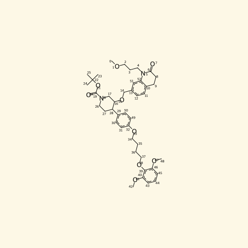 COCCCN1C(=O)CCc2ccc(COC3CN(C(=O)OC(C)(C)C)CCC3c3ccc(OCCCCOc4c(OC)cccc4OC)cc3)cc21